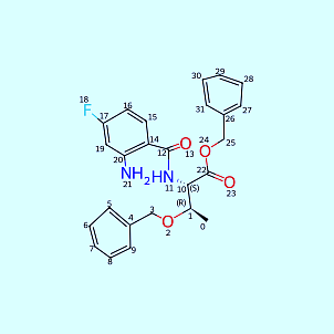 C[C@@H](OCc1ccccc1)[C@H](NC(=O)c1ccc(F)cc1N)C(=O)OCc1ccccc1